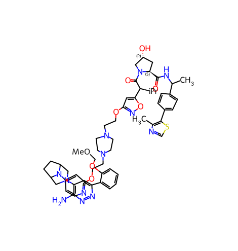 COCOc1ccccc1-c1cc(N2CC3CCC(C2)N3c2ccnc(OCCN3CCN(CCOc4cc(C(C(=O)N5C[C@H](O)C[C@H]5C(=O)NC(C)c5ccc(-c6scnc6C)cc5)C(C)C)on4)CC3)c2)c(N)nn1